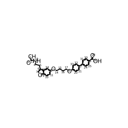 CC(=O)NCCc1coc2ccc(OCCCCOc3ccc(-c4ccc(C(=O)O)cc4)cc3)cc12